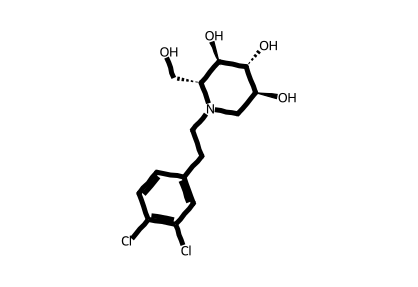 OC[C@@H]1[C@@H](O)[C@H](O)[C@@H](O)CN1CCc1ccc(Cl)c(Cl)c1